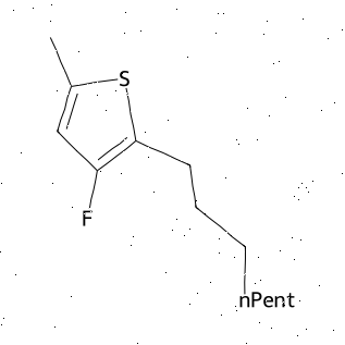 CCCCCCCCc1sc(C)cc1F